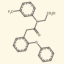 CCOC(=O)CN(C(=O)Cc1ccccc1Oc1ccccc1)c1cccc(C(F)(F)F)c1